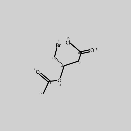 CC(=O)O[C@H](CBr)CC(=O)Cl